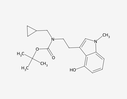 Cn1cc(CCN(CC2CC2)C(=O)OC(C)(C)C)c2c(O)cccc21